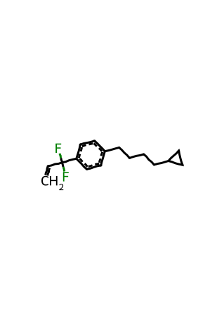 C=CC(F)(F)c1ccc(CCCCC2CC2)cc1